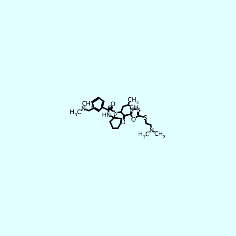 CC(C)CC(C(=O)c1nnc(SCCN(C)C)o1)N(C=O)C1(NC(=O)c2cccc(CN(C)C)c2)CCCCC1